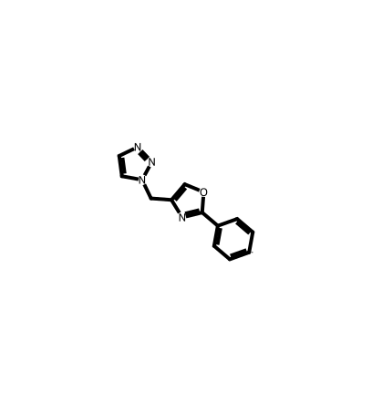 [c]1ccc(-c2nc(Cn3ccnn3)co2)cc1